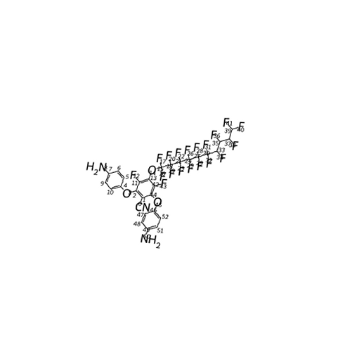 N#Cc1c(Oc2ccc(N)cc2)c(F)c(OC(F)(F)C(F)(F)C(F)(F)C(F)(F)C(F)(F)C(F)(F)C(F)C(F)C(F)C(F)F)c(F)c1Oc1ccc(N)cc1